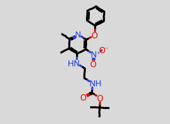 Cc1nc(Oc2ccccc2)c([N+](=O)[O-])c(NCCNC(=O)OC(C)(C)C)c1C